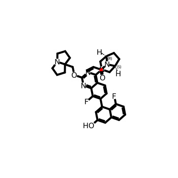 C=CC(=O)N1[C@@H]2CC[C@H]1CN(c1nc(OCC34CCCN3CCC4)nc3c(F)c(-c4cc(O)cc5cccc(F)c45)ccc13)C2